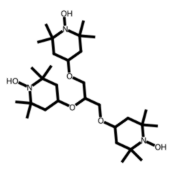 CC1(C)CC(OCC(COC2CC(C)(C)N(O)C(C)(C)C2)OC2CC(C)(C)N(O)C(C)(C)C2)CC(C)(C)N1O